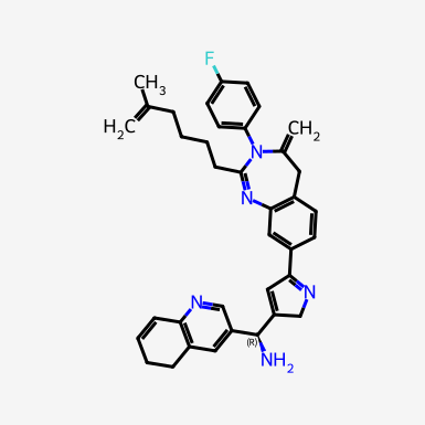 C=C(C)CCCCC1=Nc2cc(C3=NCC([C@@H](N)c4cnc5c(c4)CCC=C5)=C3)ccc2CC(=C)N1c1ccc(F)cc1